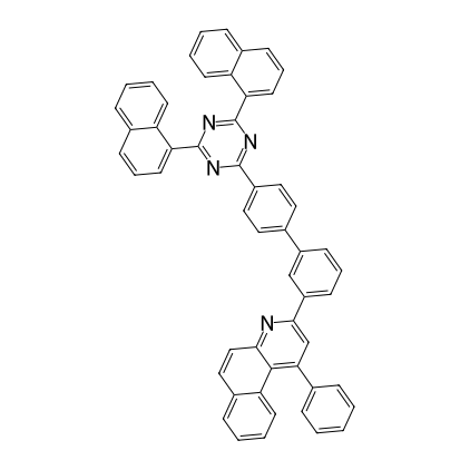 c1ccc(-c2cc(-c3cccc(-c4ccc(-c5nc(-c6cccc7ccccc67)nc(-c6cccc7ccccc67)n5)cc4)c3)nc3ccc4ccccc4c23)cc1